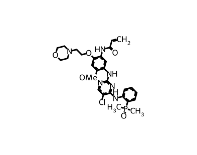 C=CC(=O)Nc1cc(Nc2ncc(Cl)c(Nc3ccccc3P(C)(C)=O)n2)c(OC)cc1OCCN1CCOCC1